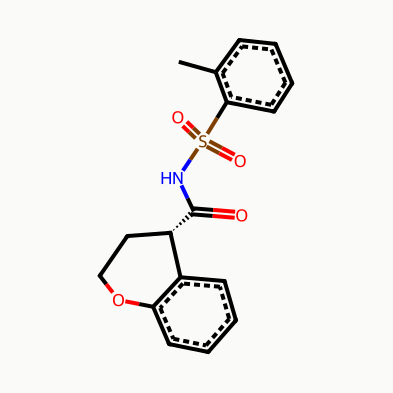 Cc1ccccc1S(=O)(=O)NC(=O)[C@H]1CCOc2ccccc21